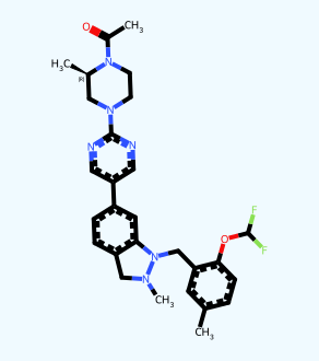 CC(=O)N1CCN(c2ncc(-c3ccc4c(c3)N(Cc3cc(C)ccc3OC(F)F)N(C)C4)cn2)C[C@H]1C